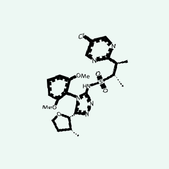 COc1cccc(OC)c1-n1c(NS(=O)(=O)[C@@H](C)[C@H](C)c2ncc(Cl)cn2)nnc1[C@H]1OCC[C@H]1C